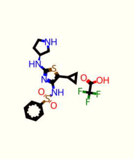 O=C(O)C(F)(F)F.O=S(=O)(Nc1nc(N[C@H]2CCNC2)sc1C1CC1)c1ccccc1